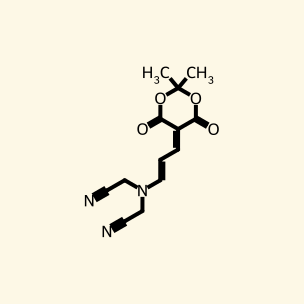 CC1(C)OC(=O)C(=C/C=C/N(CC#N)CC#N)C(=O)O1